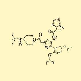 CC(C)Sc1ccc(OC(F)F)c(-c2nn(CC(=O)N3CCC(NCC(C)(F)F)CC3)cc2NC(=O)c2cnn3cccnc23)c1